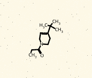 CCC(=O)N1CC=C(C(C)(C)C)CC1